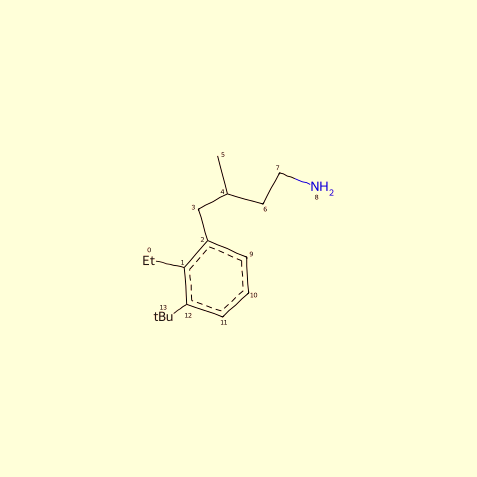 CCc1c(CC(C)CCN)cccc1C(C)(C)C